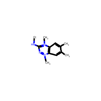 CCNc1n[n+](C)c2cc(C)c(C)cc2[n+]1C